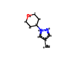 CCC(C)c1cnn(C2CCOCC2)c1